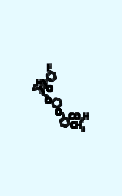 Cc1cccc(CO[C@@H]2CCC[C@H](OCCN(C(=O)Nc3cccc(F)c3)C3CC3)C2)c1C(=O)O